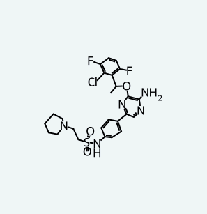 CC(Oc1nc(-c2ccc(NS(=O)(=O)CCN3CCCCC3)cc2)cnc1N)c1c(F)ccc(F)c1Cl